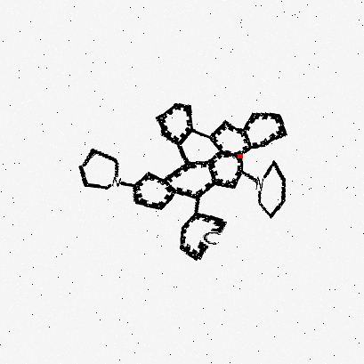 c1ccc(-c2c3cc(N4CCCCC4)ccc3c(-c3ccccc3-c3ccc4ccccc4c3)c3cc(N4CCCCC4)ccc23)cc1